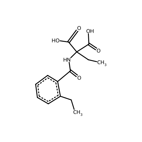 CCc1ccccc1C(=O)NC(CC)(C(=O)O)C(=O)O